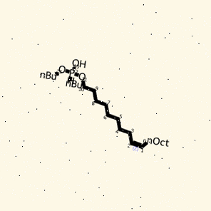 CCCCCCCC/C=C\CCCCCCCCO[PH](O)(CCCC)OCCCC